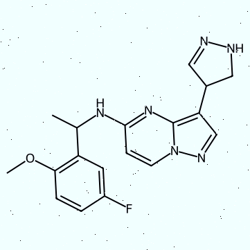 COc1ccc(F)cc1C(C)Nc1ccn2ncc(C3C=NNC3)c2n1